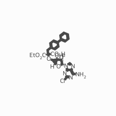 CCOC(=O)[C@](Cc1ccc(-c2ccccc2)cc1)(OC1[C@H]2O[C@@H](n3cnc4c(N)nc(Cl)nc43)[C@@H](F)[C@@]12O)C(=O)O